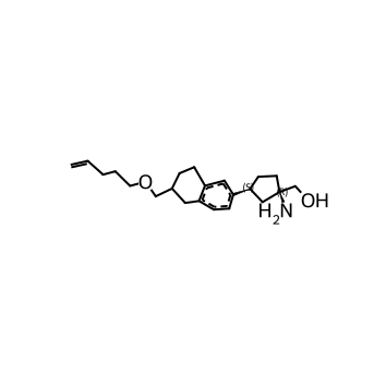 C=CCCCOCC1CCc2cc([C@H]3CC[C@](N)(CO)C3)ccc2C1